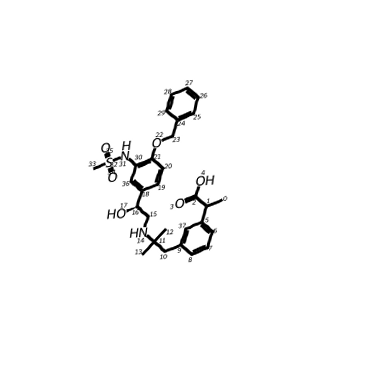 CC(C(=O)O)c1cccc(CC(C)(C)NC[C@@H](O)c2ccc(OCc3ccccc3)c(NS(C)(=O)=O)c2)c1